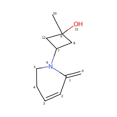 C=C1C=CCCN1C1CC(C)(O)C1